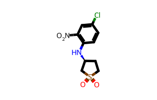 O=[N+]([O-])c1cc(Cl)ccc1N[C@H]1CCS(=O)(=O)C1